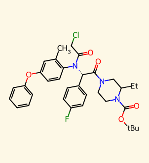 CCC1CN(C(=O)[C@H](c2ccc(F)cc2)N(C(=O)CCl)c2ccc(Oc3ccccc3)cc2C)CCN1C(=O)OC(C)(C)C